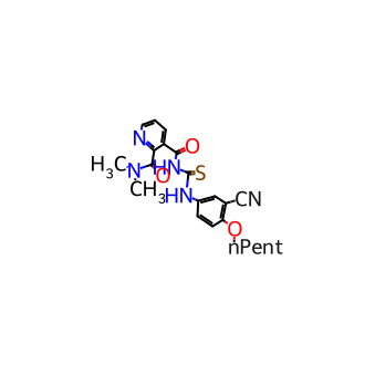 CCCCCOc1ccc(NC(=S)NC(=O)c2cccnc2C(=O)N(C)C)cc1C#N